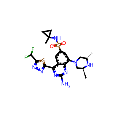 C[C@H]1CN(c2cc(S(=O)(=O)NC3(C)CC3)cc3c(-c4nnc(C(F)F)s4)nc(N)nc23)C[C@H](C)N1